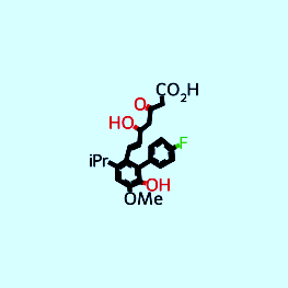 COc1cc(C(C)C)c(/C=C/C(O)CC(=O)CC(=O)O)c(-c2ccc(F)cc2)c1O